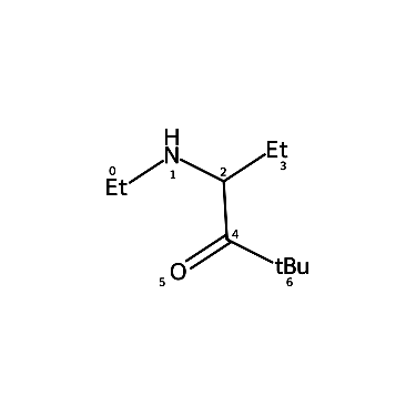 CCNC(CC)C(=O)C(C)(C)C